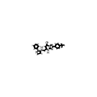 CC(C)(C)c1ccc(-c2nc3[nH]c(CNc4ccnn4-c4ccccc4)cc(=O)n3n2)cc1